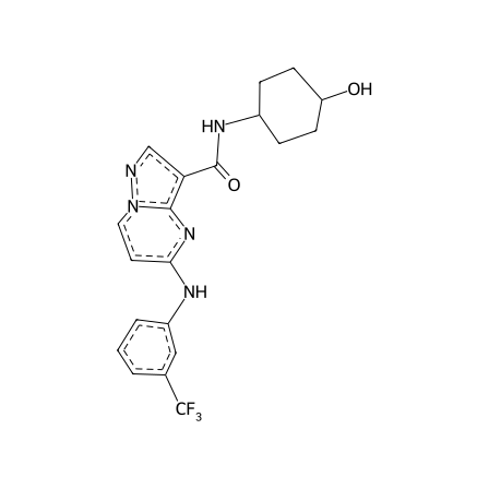 O=C(NC1CCC(O)CC1)c1cnn2ccc(Nc3cccc(C(F)(F)F)c3)nc12